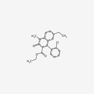 CCOC(=O)c1c(-c2ccccc2Cl)c2cc(CC)ccc2n(C)c1=O